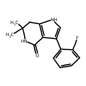 CC1(C)Cc2[nH]cc(-c3ccccc3F)c2C(=O)N1